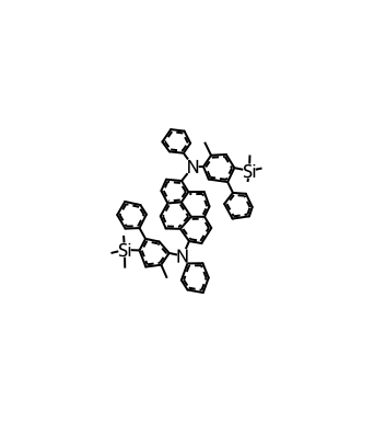 Cc1cc([Si](C)(C)C)c(-c2ccccc2)cc1N(c1ccccc1)c1ccc2ccc3c(N(c4ccccc4)c4cc(-c5ccccc5)c([Si](C)(C)C)cc4C)ccc4ccc1c2c43